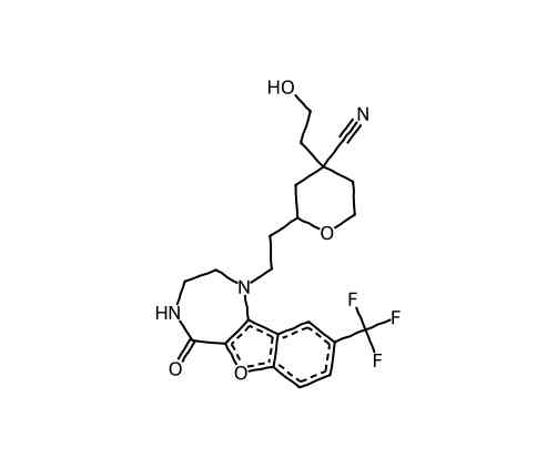 N#CC1(CCO)CCOC(CCN2CCNC(=O)c3oc4ccc(C(F)(F)F)cc4c32)C1